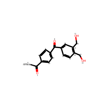 CCCCCCC(=O)c1ccc(C(=O)c2ccc(CO)c(CO)c2)cc1